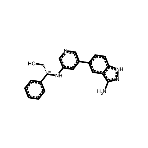 Nc1n[nH]c2ccc(-c3cncc(N[C@@H](CO)c4ccccc4)c3)cc12